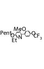 CCCCCOc1cc(C)c(-c2ccc(OC(F)(F)F)cc2OC)nc1CC